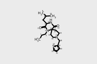 CCCN1C(=O)C(CC(C)C)NC(=O)C12CCN(Cc1cccs1)CC2